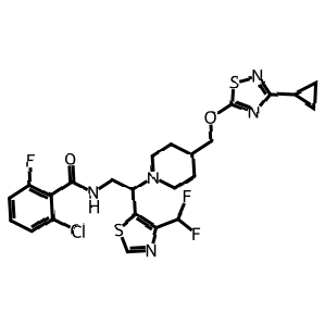 O=C(NCC(c1scnc1C(F)F)N1CCC(COc2nc(C3CC3)ns2)CC1)c1c(F)cccc1Cl